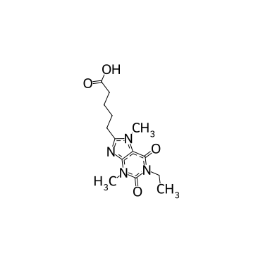 CCn1c(=O)c2c(nc(CCCCC(=O)O)n2C)n(C)c1=O